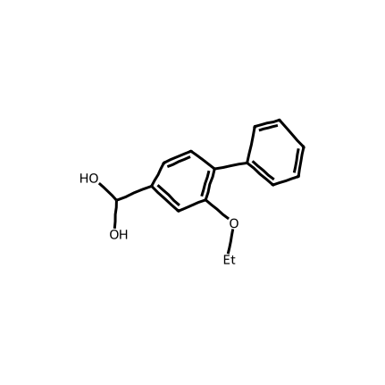 CCOc1cc(C(O)O)ccc1-c1ccccc1